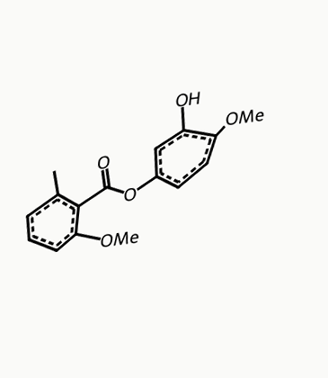 COc1ccc(OC(=O)c2c(C)cccc2OC)cc1O